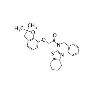 CC1(C)Cc2cccc(OCC(=O)N(Cc3ccccc3)c3nc4c(s3)CCCC4)c2O1